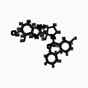 Cc1ccc(-c2ccccc2)c(C(=O)N2CCCC2(C)c2nc3c(C)c(Cl)ccc3[nH]2)c1